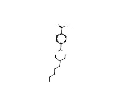 CCCCCC1COC(c2ccc(C(N)=O)cc2)OC1